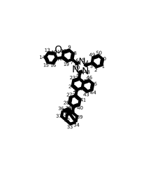 c1ccc(-c2nc(-c3ccc4oc5ccccc5c4c3)nc(-c3ccc(-c4ccc(C56CC7CC(CC(C7)C5)C6)cc4)c4ccccc34)n2)cc1